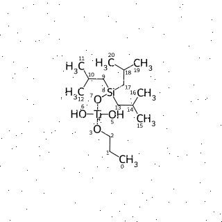 CCC[O][Ti]([OH])([OH])[O][Si](CC(C)C)(CC(C)C)CC(C)C